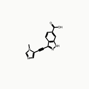 Cn1cncc1C#Cc1n[nH]c2cc(C(=O)O)ccc12